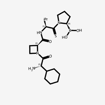 CC(C)[C@H](NC(=O)[C@@H]1CCN1C(=O)[C@@H](N)C1CCCCC1)C(=S)N1CCC[C@H]1B(O)O